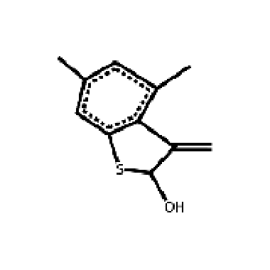 C=C1c2c(C)cc(C)cc2SC1O